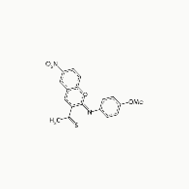 COc1ccc(/N=c2\oc3ccc([N+](=O)[O-])cc3cc2C(C)=S)cc1